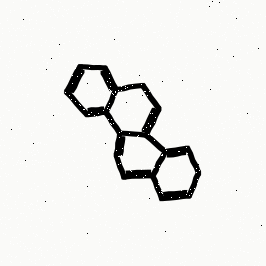 C1=Cc2ccc3c(c2=CC1)=CCc1ccccc1-3